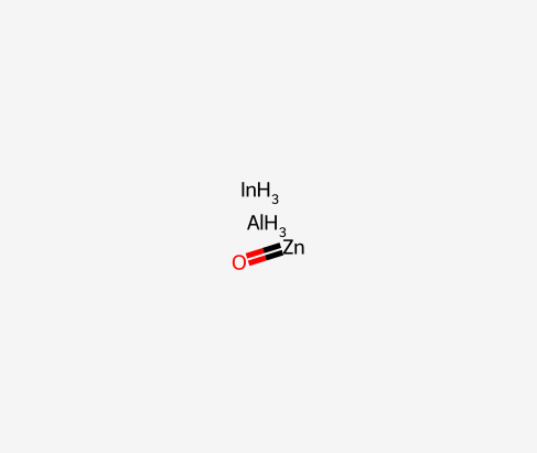 [AlH3].[InH3].[O]=[Zn]